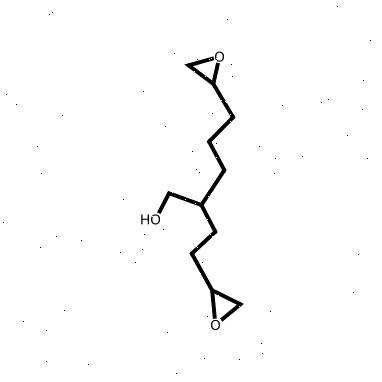 OCC(CCCC1CO1)CCC1CO1